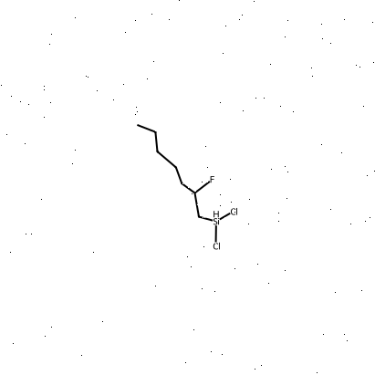 CCCCCC(F)C[SiH](Cl)Cl